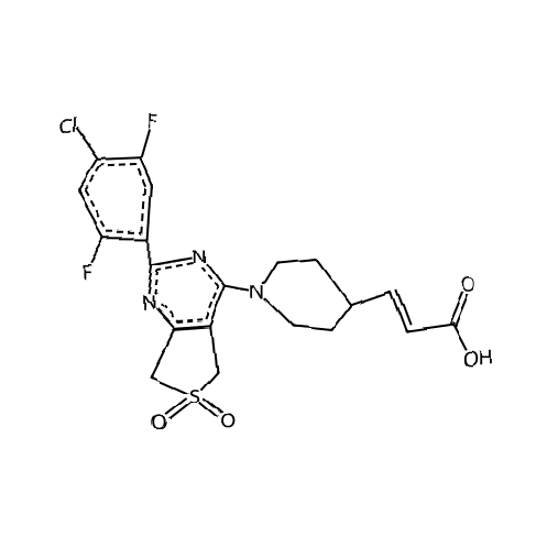 O=C(O)C=CC1CCN(c2nc(-c3cc(F)c(Cl)cc3F)nc3c2CS(=O)(=O)C3)CC1